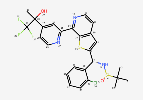 CC(C)(C)[S@+]([O-])N[C@@H](c1cc2ccnc(-c3cc(C(C)(O)C(F)(F)F)ccn3)c2s1)c1ccccc1Cl